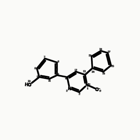 [O-][n+]1cnc(-c2cccc(O)c2)cc1-c1ccccc1